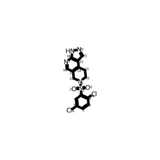 O=S(=O)(c1cc(Cl)ccc1Cl)N1CCc2c(cnc3[nH]ncc23)C1